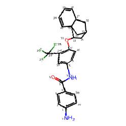 Nc1ccc(C(=O)Nc2ccc(OC3CC4CC5C=CC=CC53C4)c(C(F)(F)F)c2)cc1